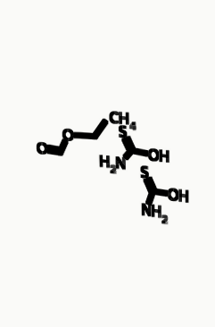 C.CCOC=O.NC(O)=S.NC(O)=S